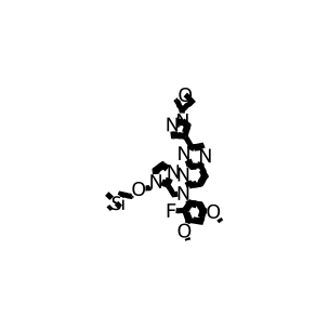 COc1cc(OC)c(F)c(N(Cc2nccn2COCC[Si](C)(C)C)c2ccc3ncc(-c4cnn(C5COC5)c4)nc3n2)c1